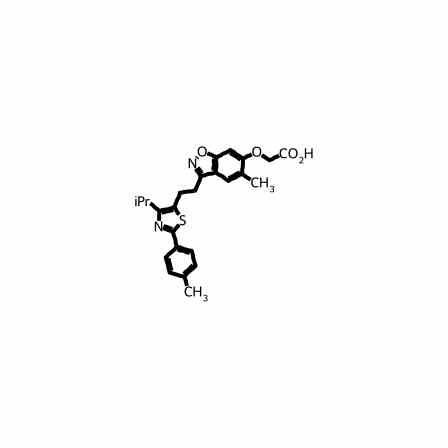 Cc1ccc(-c2nc(C(C)C)c(CCc3noc4cc(OCC(=O)O)c(C)cc34)s2)cc1